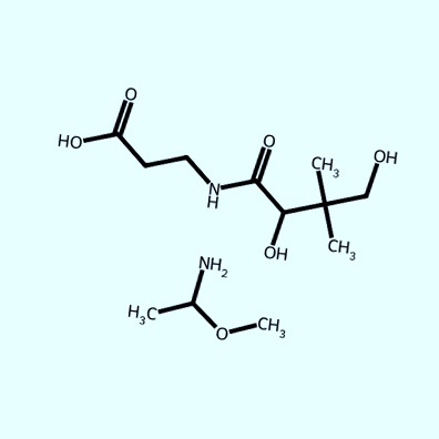 CC(C)(CO)C(O)C(=O)NCCC(=O)O.COC(C)N